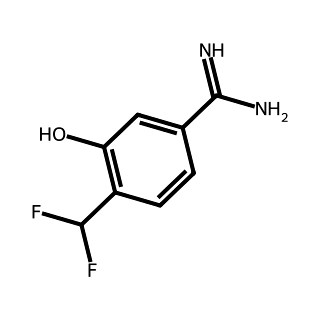 N=C(N)c1ccc(C(F)F)c(O)c1